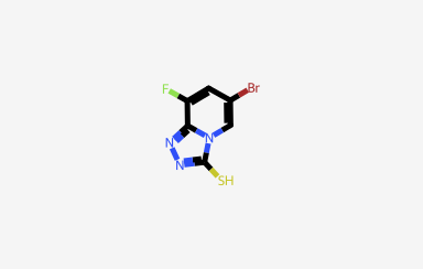 Fc1cc(Br)cn2c(S)nnc12